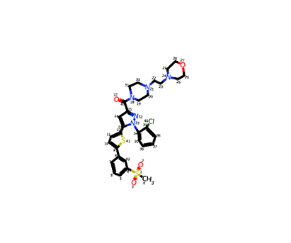 CS(=O)(=O)c1cccc(-c2ccc(-c3cc(C(=O)N4CCN(CCN5CCOCC5)CC4)nn3-c3ccccc3Cl)s2)c1